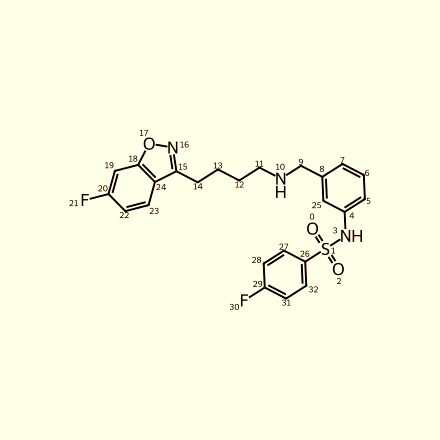 O=S(=O)(Nc1cccc(CNCCCCc2noc3cc(F)ccc23)c1)c1ccc(F)cc1